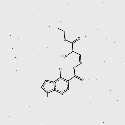 CCOC(=O)C(N)/C=N\OC(=O)c1cnc2[nH]ccc2c1Cl